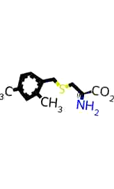 Cc1ccc(CSC[C@H](N)C(=O)O)c(C)c1